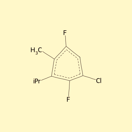 Cc1c(F)cc(Cl)c(F)c1C(C)C